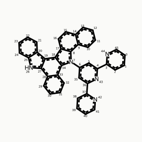 c1ccc(-c2cc(-n3c4c5ccccc5ccc4c4c5c6ccccc6[nH]c5c5ccccc5c43)cc(-c3ccccn3)n2)nc1